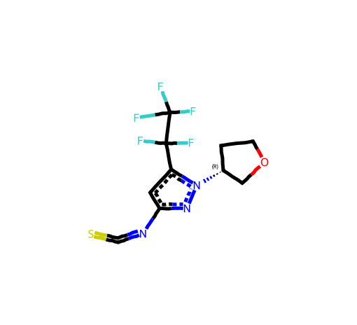 FC(F)(F)C(F)(F)c1cc(N=C=S)nn1[C@@H]1CCOC1